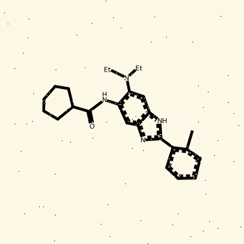 CCN(CC)c1cc2[nH]c(-c3ccccc3C)nc2cc1NC(=O)C1CCCCC1